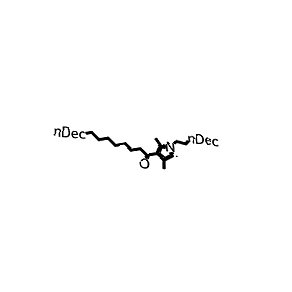 CCCCCCCCCCCCCCCCCC(=O)c1c(C)[c]n(CCCCCCCCCCCC)c1C